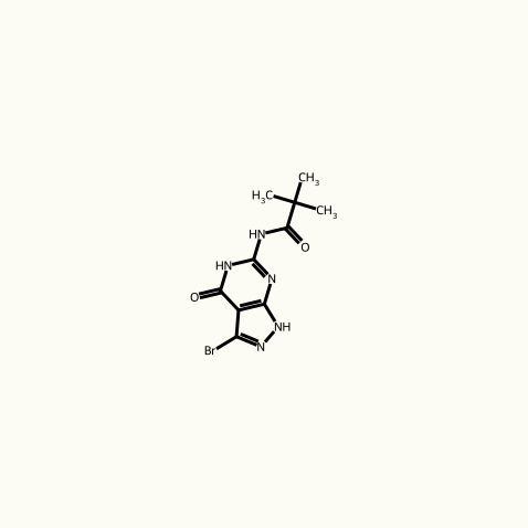 CC(C)(C)C(=O)Nc1nc2[nH]nc(Br)c2c(=O)[nH]1